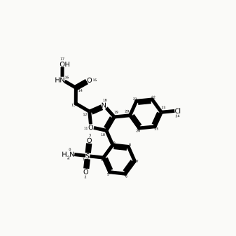 NS(=O)(=O)c1ccccc1-c1oc(CC(=O)NO)nc1-c1ccc(Cl)cc1